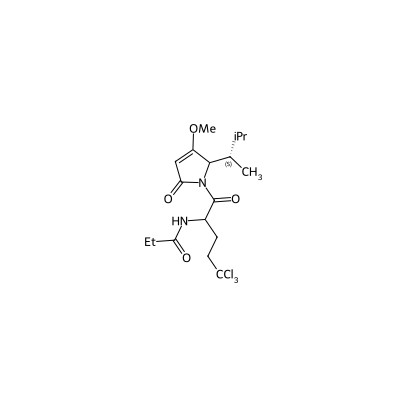 CCC(=O)NC(CCC(Cl)(Cl)Cl)C(=O)N1C(=O)C=C(OC)C1[C@@H](C)C(C)C